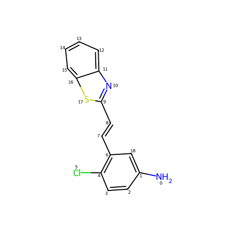 Nc1ccc(Cl)c(C=Cc2nc3ccccc3s2)c1